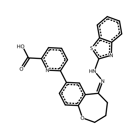 O=C(O)c1cccc(-c2ccc3c(c2)/C(=N\Nc2nc4ccccc4s2)CCCO3)n1